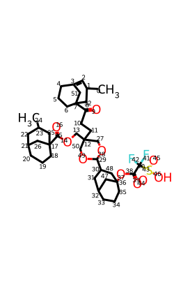 CC1C=C2CCCC(C(=O)CCC3(COC(=O)C45CCCC(CC(C)C4)C5)COC(C4CC5CCCC(OC(=O)C(F)(F)S(=O)(=O)O)(C5)C4)OC3)(C2)C1